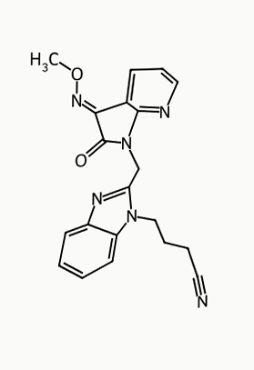 CO/N=C1/C(=O)N(Cc2nc3ccccc3n2CCCC#N)c2ncccc21